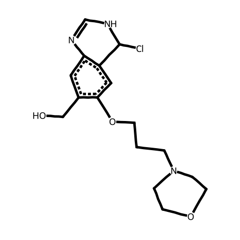 OCc1cc2c(cc1OCCCN1CCOCC1)C(Cl)NC=N2